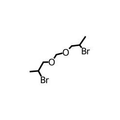 CC(Br)COCOCC(C)Br